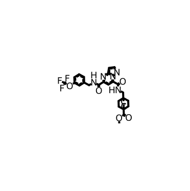 COC(=O)C12CCC(CNC(=O)c3cc(C(=O)NCc4cccc(OC(F)(F)F)c4)nc4ccnn34)(CC1)CC2